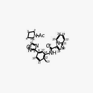 CC(=O)N1CCC[C@H]1c1nc(-c2ccc(C)c(NC(=O)c3cnc4ccccn34)c2)no1